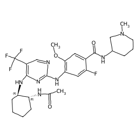 COc1cc(C(=O)NC2CCCN(C)C2)c(F)cc1Nc1ncc(C(F)(F)F)c(N[C@@H]2CCCC[C@H]2NC(C)=O)n1